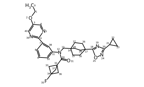 CCOc1cnc(-c2cccc(N(CC34CCC(c5nc(C6CC6)no5)(CC3)CC4)C(=O)C34CC(F)(C3)C4)c2)nc1